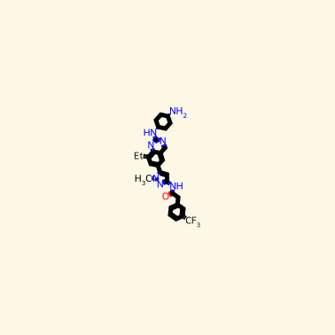 CCc1cc(-c2cc(NC(=O)Cc3cccc(C(F)(F)F)c3)nn2C)cc2cnc(N[C@H]3CC[C@H](N)CC3)nc12